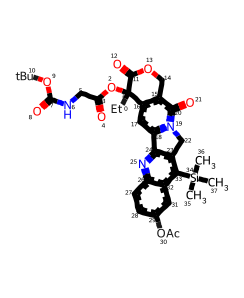 CCC1(OC(=O)CNC(=O)OC(C)(C)C)C(=O)OCc2c1cc1n(c2=O)Cc2c-1nc1ccc(OC(C)=O)cc1c2[Si](C)(C)C